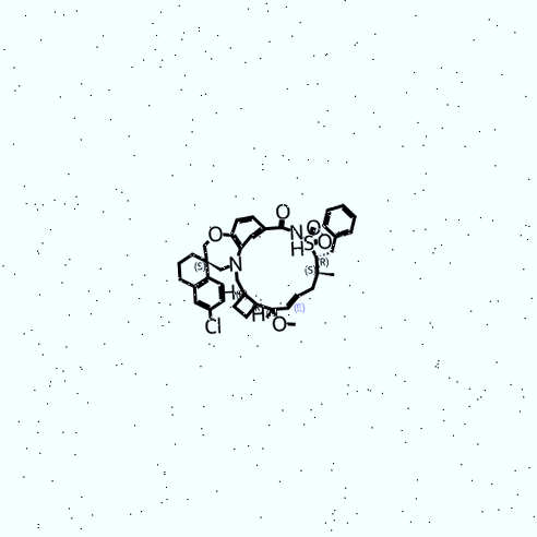 CO[C@@]1(C)/C=C/C[C@H](C)[C@@H](Cc2ccccc2)S(=O)(=O)NC(=O)c2ccc3c(c2)N(C[C@@H]2CC[C@H]21)C[C@@]1(CCCc2cc(Cl)ccc21)CO3